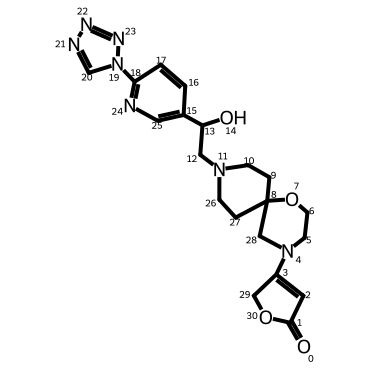 O=C1C=C(N2CCOC3(CCN(CC(O)c4ccc(-n5cnnn5)nc4)CC3)C2)CO1